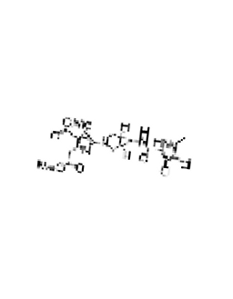 COC(=O)Cc1nc(N2C[C@@H]3[C@H](C2)[C@H]3NC(=O)c2[nH]c(C)c(Cl)c2Cl)sc1C(=O)OC